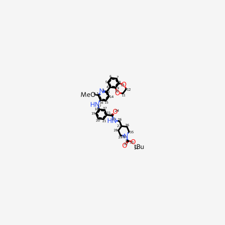 COc1nc(-c2cccc3c2OCCO3)ccc1Nc1cccc(C(=O)NCC2CCN(C(=O)OC(C)(C)C)CC2)c1